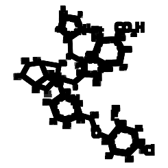 CCn1cncc1Cn1c(CN2CC3CCC(C2)C3Oc2cccc(COc3ccc(Cl)cc3F)n2)nc2ccc(C(=O)O)cc21